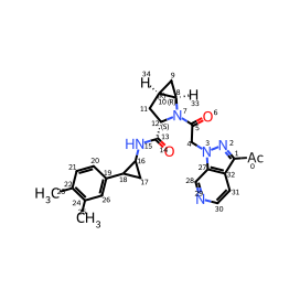 CC(=O)c1nn(CC(=O)N2[C@@H]3C[C@@H]3C[C@H]2C(=O)NC2CC2c2ccc(C)c(C)c2)c2cnccc12